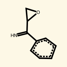 N=C(c1ccccc1)C1CO1